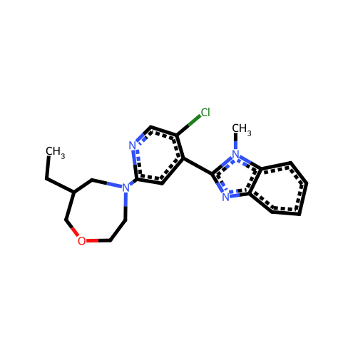 CCC1COCCN(c2cc(-c3nc4ccccc4n3C)c(Cl)cn2)C1